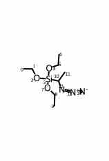 CCO[Si](OCC)(OCC)C(C)N=[N+]=[N-]